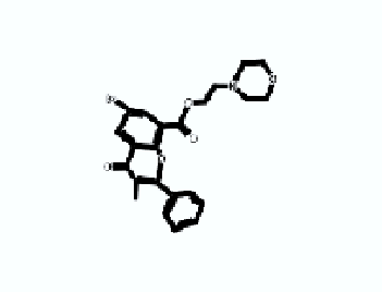 Cc1c(-c2ccccc2)oc2c(C(=O)OCCN3CCOCC3)cc(Br)cc2c1=O